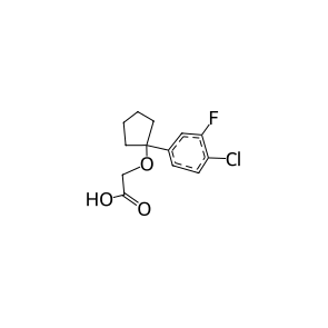 O=C(O)COC1(c2ccc(Cl)c(F)c2)CCCC1